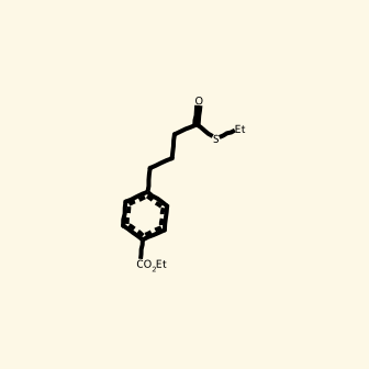 CCOC(=O)c1ccc(CCCC(=O)SCC)cc1